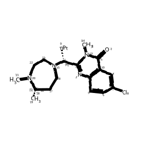 CCC[C@H](c1nc2ccc(Cl)cc2c(=O)n1C)N1CC[C@H](C)N(C)CC1